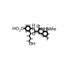 CNc1cc(F)cc2cc(C(=O)Nc3ccc(C(=O)O)cc3CCCCO)c(=O)[nH]c12